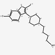 NCCCCN1CCN(c2c(F)sc3cc(F)ccc23)CC1